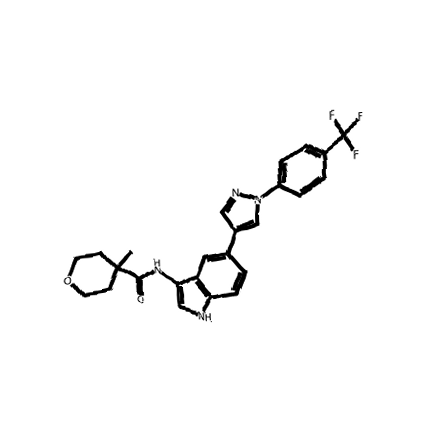 CC1(C(=O)Nc2c[nH]c3ccc(-c4cnn(-c5ccc(C(F)(F)F)cc5)c4)cc23)CCOCC1